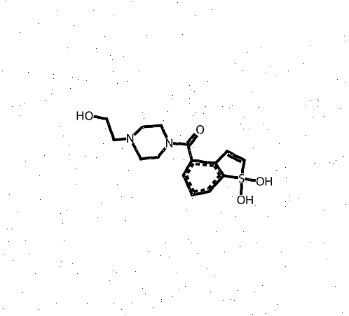 O=C(c1cccc2c1C=CS2(O)O)N1CCN(CCO)CC1